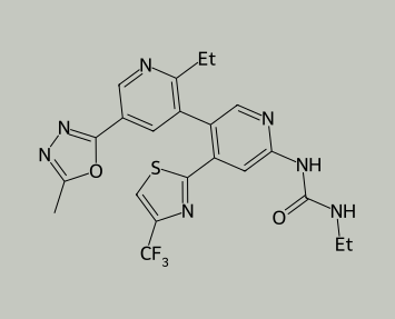 CCNC(=O)Nc1cc(-c2nc(C(F)(F)F)cs2)c(-c2cc(-c3nnc(C)o3)cnc2CC)cn1